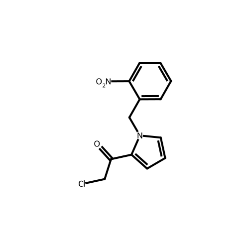 O=C(CCl)c1cccn1Cc1ccccc1[N+](=O)[O-]